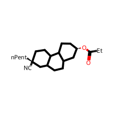 CCCCC[C@@]1(C#N)CCC2C(CCC3C[C@@H](OC(=O)CC)CCC32)C1